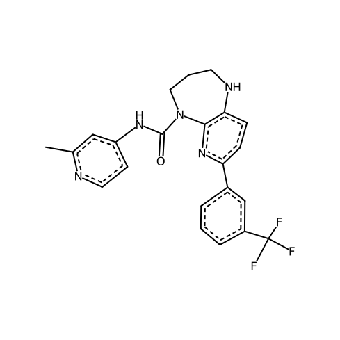 Cc1cc(NC(=O)N2CCCNc3ccc(-c4cccc(C(F)(F)F)c4)nc32)ccn1